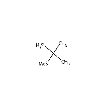 CSC(C)(C)[SiH3]